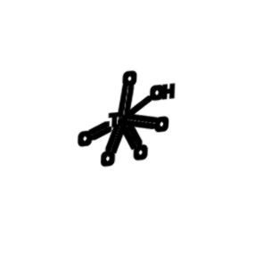 [O]=[Ta](=[O])(=[O])(=[O])(=[O])[OH]